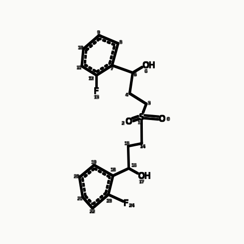 O=S(=O)(CCC(O)c1ccccc1F)CCC(O)c1ccccc1F